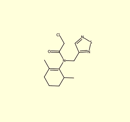 CC1=C(N(Cc2cnsn2)C(=O)CCl)C(C)CCC1